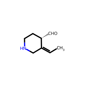 C/C=C1/CNCC[C@@H]1C=O